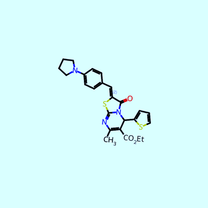 CCOC(=O)C1=C(C)N=c2s/c(=C\c3ccc(N4CCCC4)cc3)c(=O)n2C1c1cccs1